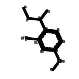 CCC(C)c1ccc(OC)cc1F